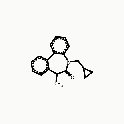 CC1C(=O)N(CC2CC2)c2ccccc2-c2ccccc21